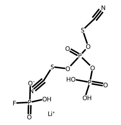 N#CSOP(=O)(OSC#N)OP(=O)(O)O.O=P([O-])(O)F.[Li+]